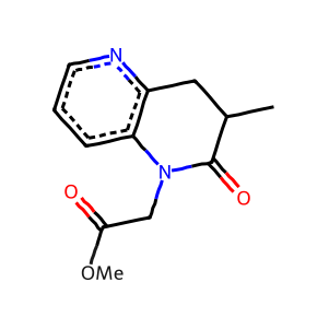 COC(=O)CN1C(=O)C(C)Cc2ncccc21